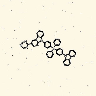 c1ccc(S(c2ccccc2)(c2ccc(-n3c4ccccc4c4ccccc43)cc2)c2ccc(-n3c4ccccc4c4cc(-c5ncncn5)ccc43)cc2)cc1